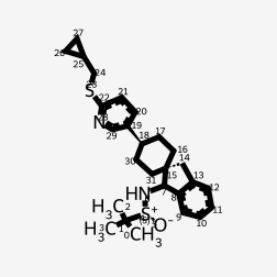 CC(C)(C)[S@@+]([O-])NC1c2ccccc2C[C@]12CC[C@H](c1ccc(SCC3CC3)nc1)CC2